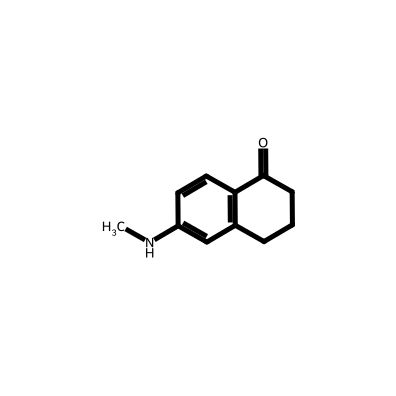 CNc1ccc2c(c1)CCCC2=O